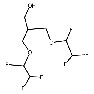 OCC(COC(F)C(F)F)COC(F)C(F)F